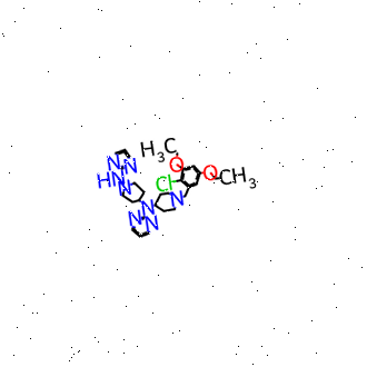 CCOc1cc(CN2CCC(N(c3ncccn3)C3CCN(Nc4ncccn4)CC3)CC2)c(Cl)c(OCC)c1